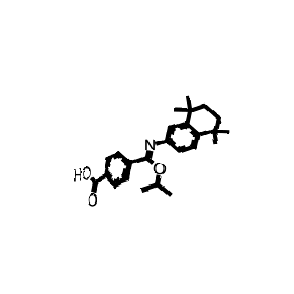 CC(C)O/C(=N\c1ccc2c(c1)C(C)(C)CCC2(C)C)c1ccc(C(=O)O)cc1